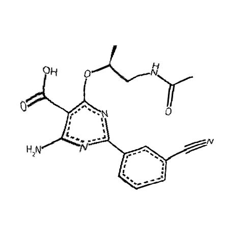 CC(=O)NC[C@H](C)Oc1nc(-c2cccc(C#N)c2)nc(N)c1C(=O)O